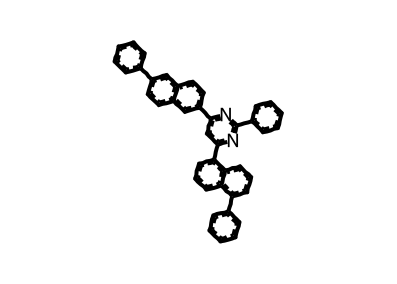 c1ccc(-c2ccc3cc(-c4cc(-c5cccc6c(-c7ccccc7)cccc56)nc(-c5ccccc5)n4)ccc3c2)cc1